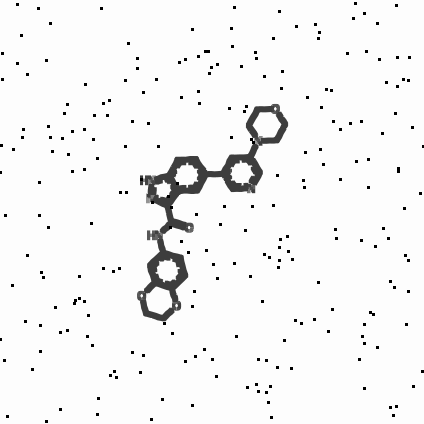 O=C(Nc1ccc2c(c1)OCCO2)c1n[nH]c2ccc(-c3cncc(N4CCOCC4)c3)cc12